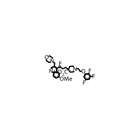 COc1ccc2ncc(CN3CCOCC3)c([C@H](F)CCC3(C(=O)O)CCN(CCOc4cc(F)cc(F)c4F)CC3)c2c1